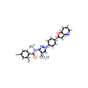 Cc1ccc(C(=O)N(c2nn(-c3ccc(-c4cc5ncccc5o4)cc3)cc2C(=O)O)C(C)C)c(C)c1